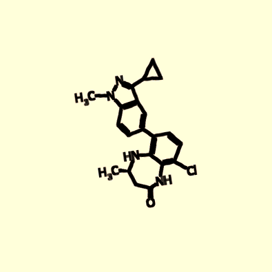 C[C@@H]1CC(=O)Nc2c(Cl)ccc(-c3ccc4c(c3)c(C3CC3)nn4C)c2N1